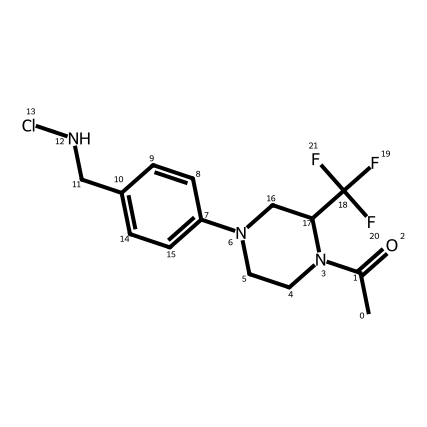 CC(=O)N1CCN(c2ccc(CNCl)cc2)CC1C(F)(F)F